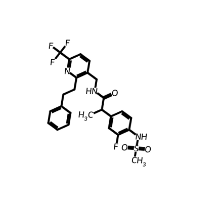 CC(C(=O)NCc1ccc(C(F)(F)F)nc1CCc1ccccc1)c1ccc(NS(C)(=O)=O)c(F)c1